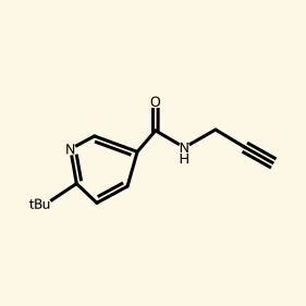 C#CCNC(=O)c1ccc(C(C)(C)C)nc1